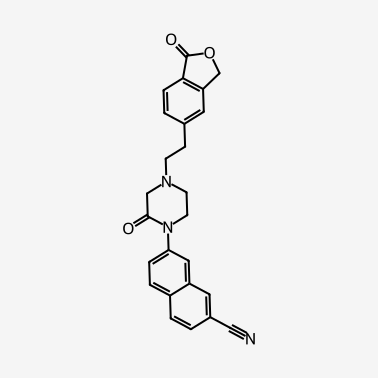 N#Cc1ccc2ccc(N3CCN(CCc4ccc5c(c4)COC5=O)CC3=O)cc2c1